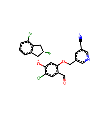 N#Cc1cncc(COc2cc(O[C@@H]3c4cccc(Br)c4C[C@H]3F)c(Cl)cc2C=O)c1